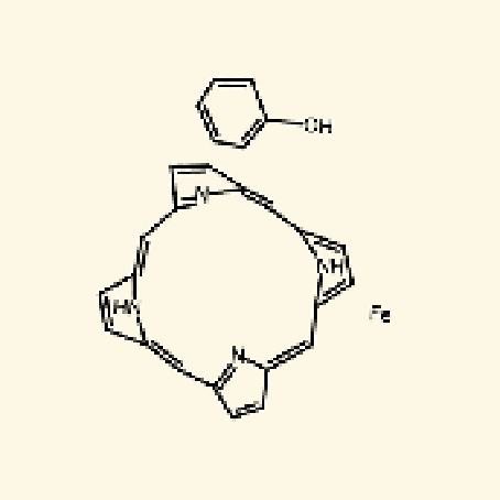 C1=Cc2cc3ccc(cc4nc(cc5ccc(cc1n2)[nH]5)C=C4)[nH]3.Oc1ccccc1.[Fe]